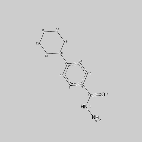 NNC(=O)c1ccc(C2CCCCC2)cc1